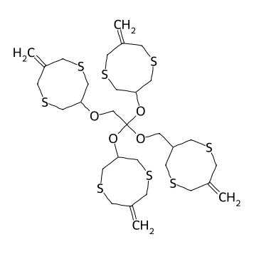 C=C1CSCC(COC(COC2CSCC(=C)CSC2)(OC2CSCC(=C)CSC2)OC2CSCC(=C)CSC2)CSC1